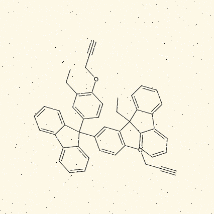 C#CCOc1ccc(C2(c3ccc(OCC#C)c(C4(CC)c5ccccc5-c5ccccc54)c3)c3ccccc3-c3ccccc32)cc1CC